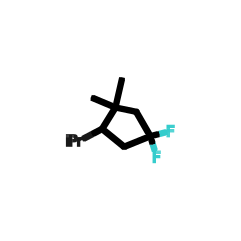 CC(C)C1CC(F)(F)CC1(C)C